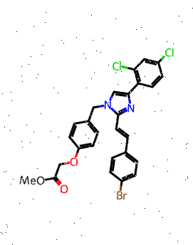 COC(=O)COc1ccc(Cn2cc(-c3ccc(Cl)cc3Cl)nc2C=Cc2ccc(Br)cc2)cc1